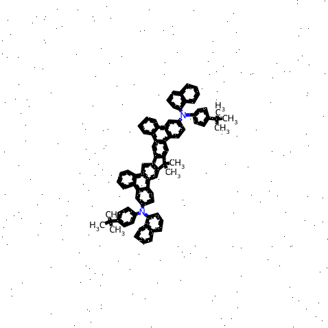 CC(C)(C)c1ccc(N(c2ccc3c(c2)c2ccccc2c2cc4c(cc32)C(C)(C)c2cc3c5ccc(N(c6ccc(C(C)(C)C)cc6)c6cccc7ccccc67)cc5c5ccccc5c3cc2-4)c2cccc3ccccc23)cc1